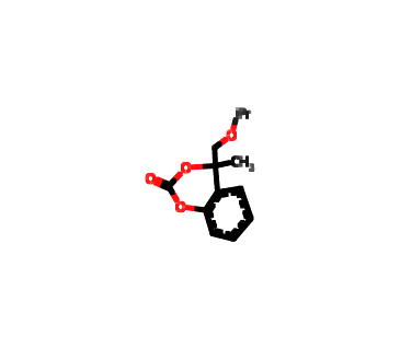 CC(C)OCC1(C)OC(=O)Oc2ccccc21